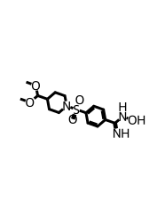 COC(OC)C1CCN(S(=O)(=O)c2ccc(C(=N)NO)cc2)CC1